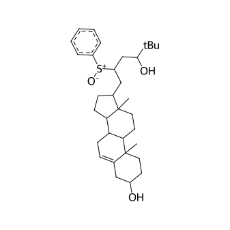 CC(C)(C)C(O)CC(CC1CCC2C3CC=C4CC(O)CCC4(C)C3CCC12C)[S+]([O-])c1ccccc1